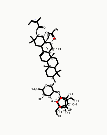 C/C=C(/C)C(=O)O[C@H]1[C@H](OC(=O)C(C)C)[C@@]2(CO)C(CC1(C)C)C1=CCC3[C@@]4(C)CC[C@H](O[C@@H]5OC(C(=O)O)[C@@H](O)[C@@H](O[C@@H]6O[C@@H](CO)C(O)[C@@H]6O)C5O[C@@H]5OC(CO)[C@H](O)[C@@H](O)C5O)C(C)(C)C4CC[C@@]3(C)[C@]1(C)[C@@H](O)[C@H]2O